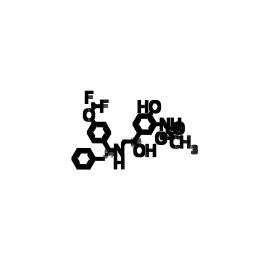 CS(=O)(=O)Nc1cc([C@@H](O)CN[C@H](Cc2ccccc2)c2ccc(OC(F)F)cc2)ccc1O